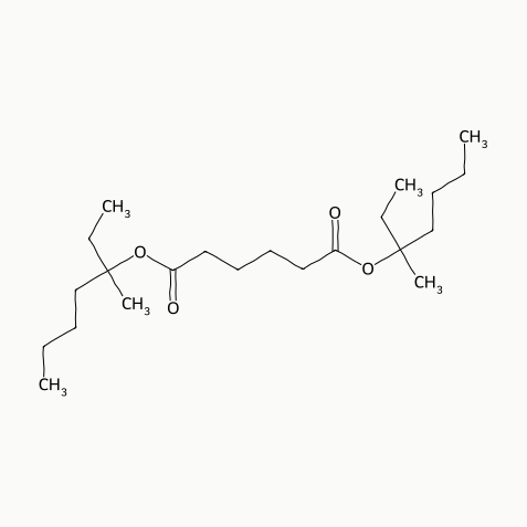 CCCCC(C)(CC)OC(=O)CCCCC(=O)OC(C)(CC)CCCC